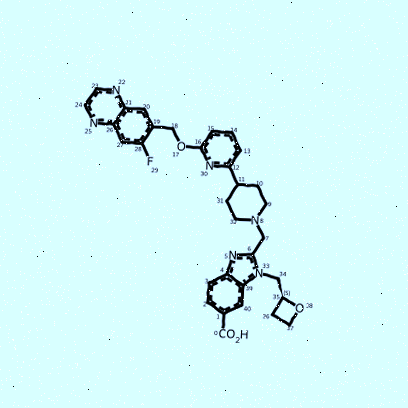 O=C(O)c1ccc2nc(CN3CCC(c4cccc(OCc5cc6nccnc6cc5F)n4)CC3)n(C[C@@H]3CCO3)c2c1